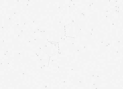 Cc1nc(N2CCCC2)ns1